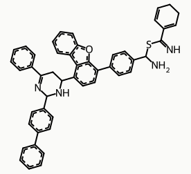 N=C(SC(N)c1ccc(-c2ccc(C3CC(c4ccccc4)=NC(c4ccc(-c5ccccc5)cc4)N3)c3c2oc2ccccc23)cc1)C1=CCCC=C1